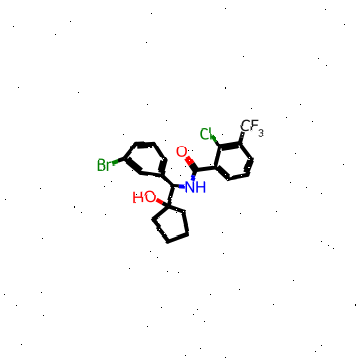 O=C(NC(c1cccc(Br)c1)C1(O)CCCC1)c1cccc(C(F)(F)F)c1Cl